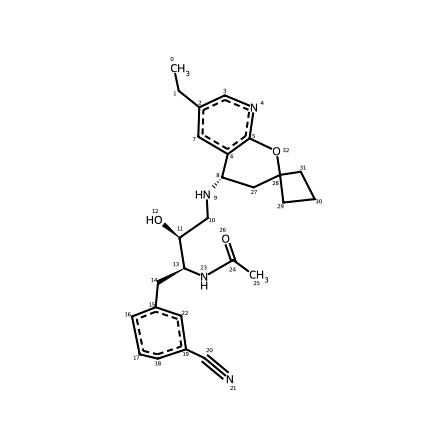 CCc1cnc2c(c1)[C@@H](NC[C@H](O)[C@H](Cc1cccc(C#N)c1)NC(C)=O)CC1(CCC1)O2